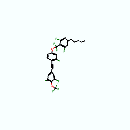 CCCCCc1cc(F)c(C(F)(F)Oc2ccc(C#Cc3cc(F)c(OC(F)(F)F)c(F)c3)c(F)c2)c(F)c1